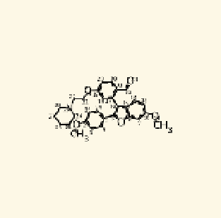 COc1ccc(-c2oc3cc(OC)ccc3c2-c2cc(OCCN3CCCCC3)ccc2C=O)cc1